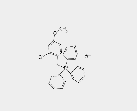 COc1ccc(C[P+](c2ccccc2)(c2ccccc2)c2ccccc2)c(Cl)c1.[Br-]